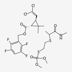 CC1(C)[C@H](C=C(Cl)Cl)[C@H]1C(=O)OCc1c(F)c(F)cc(F)c1F.CNC(=O)C(C)SCCSP(=O)(OC)OC